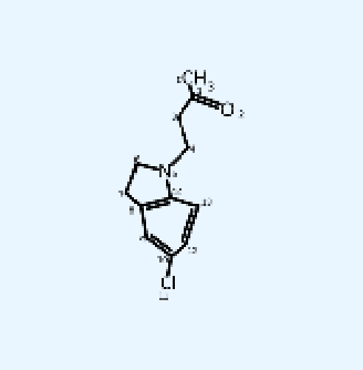 CC(=O)CCN1CCc2cc(Cl)ccc21